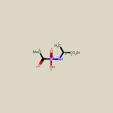 CCOC(=O)[C@H](C)NP(=O)(O)C(=O)OC